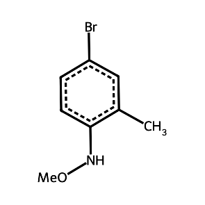 CONc1ccc(Br)cc1C